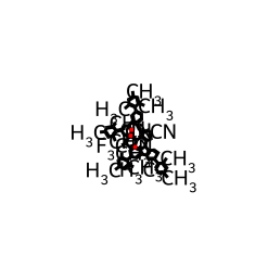 Cc1cc(C)c(-c2ccc3c(c2)c2cc(-c4c(C)cc(C)cc4C)ccc2n3-c2cc(C#N)cc(-n3c4ccc(-c5c(C)cc(C)cc5C)cc4c4cc(-c5c(C)cc(C)cc5C)ccc43)c2-c2ccc(C(F)(F)F)cc2C#N)c(C)c1